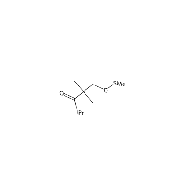 CSOCC(C)(C)C(=O)C(C)C